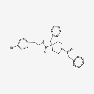 CCc1ccc(CCNC(=O)C2(Cc3ccccc3)CCN(C(=O)Cc3ccccc3)CC2)cc1